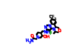 CC1COCC(c2ccc(C(F)(F)F)cc2)N1c1ncnc(NCC2CCN(CC(N)=O)CC2O)c1F